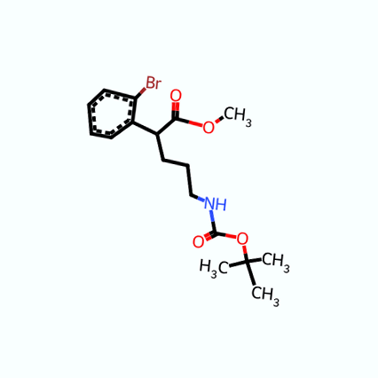 COC(=O)C(CCCNC(=O)OC(C)(C)C)c1ccccc1Br